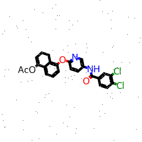 CC(=O)OC1=CCCc2c(Oc3ccc(NC(=O)c4ccc(Cl)c(Cl)c4)cn3)cccc21